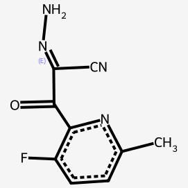 Cc1ccc(F)c(C(=O)/C(C#N)=N/N)n1